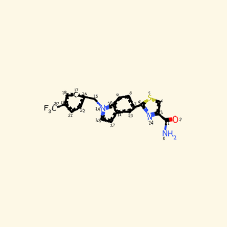 NC(=O)c1csc(-c2ccc3c(ccn3Cc3ccc(C(F)(F)F)cc3)c2)n1